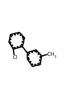 Cc1[c]ccc(-c2ccccc2Cl)c1